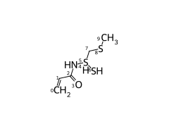 C=CC(=O)N[SH](S)CSC